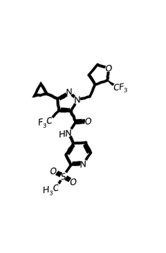 CS(=O)(=O)c1cc(NC(=O)c2c(C(F)(F)F)c(C3CC3)nn2CC2CCO[C@H]2C(F)(F)F)ccn1